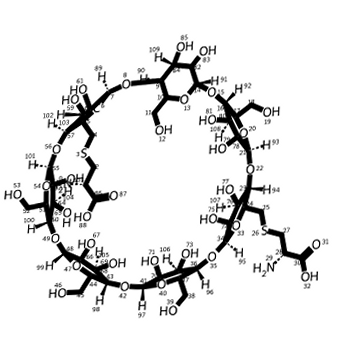 N[C@H](CSCC1C[C@@H]2O[C@@H]3C(CO)O[C@@H](O[C@@H]4C(CO)O[C@@H](O[C@@H]5C(CSC[C@@H](N)C(=O)O)O[C@@H](O[C@@H]6C(CO)O[C@H](O[C@@H]7C(CO)O[C@H](O[C@@H]8C(CO)O[C@@H](O[C@H]1[C@H](O)C2O)C(O)[C@H]8O)C(O)[C@H]7O)C(O)[C@H]6O)C(O)[C@H]5O)C(O)[C@H]4O)C(O)[C@H]3O)C(=O)O